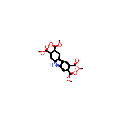 COC(=O)c1cc2[nH]c3c(c2cc1C(=O)OC)CC(C(=O)OC)C(C(=O)OC)C3